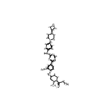 CC1CC(Oc2ccc(-c3ncnc(Nc4ccc(N5CCN(C6COC6)CC5)cc4)n3)cc2C#N)CCN1C(=O)CC#N